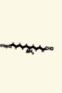 CCCCCCCCCCCCCCCCCC=O.[AlH3]